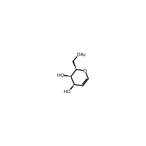 CC(=O)OC[C@H]1OC=C[C@@H](O)[C@H]1O